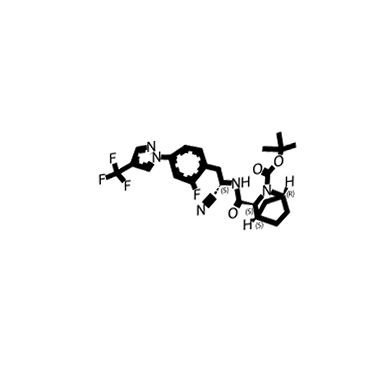 CC(C)(C)OC(=O)N1[C@@H]2CC[C@@H](C2)[C@H]1C(=O)N[C@H](C#N)Cc1ccc(-n2cc(C(F)(F)F)cn2)cc1F